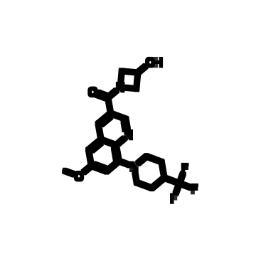 COc1cc(N2CCC(C(F)(F)F)CC2)c2ncc(C(=O)N3CC(O)C3)cc2c1